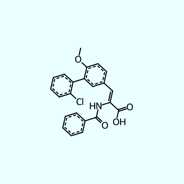 COc1ccc(C=C(NC(=O)c2ccccc2)C(=O)O)cc1-c1ccccc1Cl